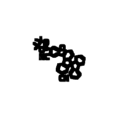 CC1(C)OB(c2cc3oc4ccc5c(c4c3cc2C#N)-c2ccc(C#N)cc2C52c3ccccc3-c3ccccc32)OC1(C)C